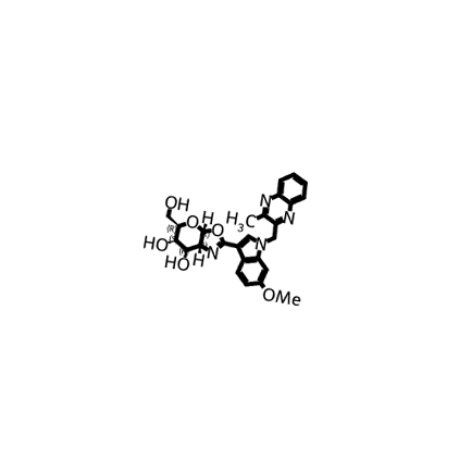 COc1ccc2c(C3=N[C@H]4[C@@H](O3)O[C@H](CO)[C@@H](O)[C@@H]4O)cn(Cc3nc4ccccc4nc3C)c2c1